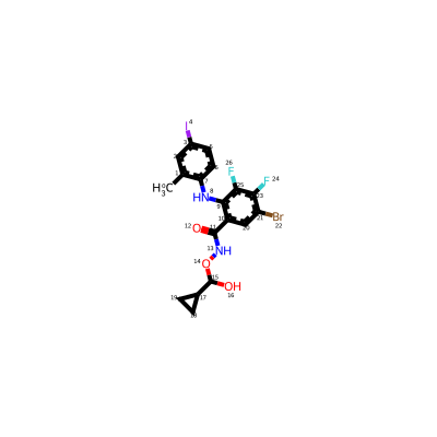 Cc1cc(I)ccc1Nc1c(C(=O)NOC(O)C2CC2)cc(Br)c(F)c1F